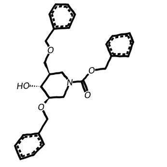 O=C(OCc1ccccc1)N1C[C@H](COCc2ccccc2)[C@@H](O)[C@H](OCc2ccccc2)C1